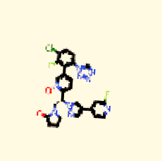 O=C1CCCN1C[C@H](c1ccc(-c2c(-n3cnnn3)ccc(Cl)c2F)c[n+]1[O-])n1cc(-c2ccnc(F)c2)cn1